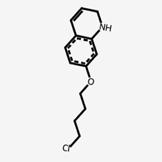 ClCCCCOc1ccc2c(c1)NCC=C2